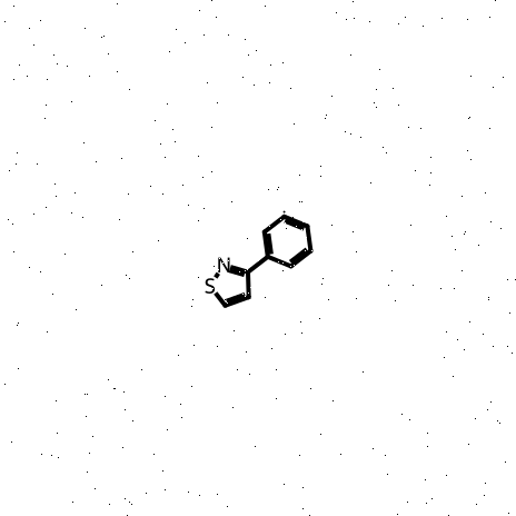 [c]1cccc(-c2ccsn2)c1